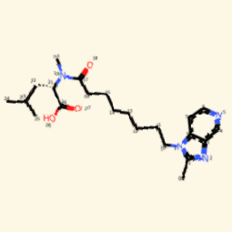 Cc1nc2cnccc2n1CCCCCCCC(=O)N(C)[C@@H](CC(C)C)C(=O)O